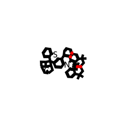 CC1(C)CCC(C)(C)c2c(N(c3ccc4c(c3-c3ccccc3)Sc3ccccc3C43C4CC5CC6CC3C64C5)c3cccc4c3C(C)(C)CCC4(C)C)cccc21